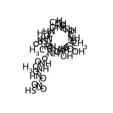 CCc1c(SC[C@@H]2NC(=O)CNC(=O)[C@H]([C@@H](C)CC)NC(=O)CNC(=O)CNC(=O)[C@H]([C@@H](C)[C@@H](O)CO)CC[C@@H]3C[C@@H](O)CN3C(=O)[C@H](CC(=O)NCc3ccc(NC(=O)[C@H](C)NC(=O)CNC(=O)CCN4C(=O)CC(S)C4=O)cc3)NC2=O)[nH]c2ccccc12